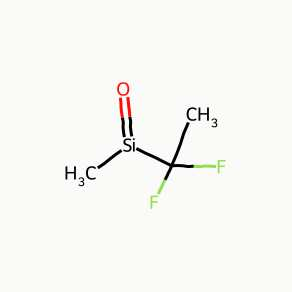 C[Si](=O)C(C)(F)F